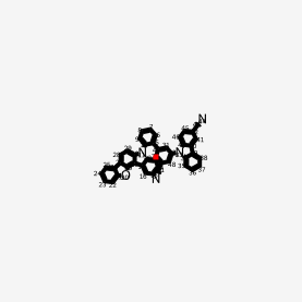 N#Cc1cc(-c2ccccc2-n2c3ccccc3c3c4oc5ccccc5c4ccc32)cc(-n2c3ccccc3c3cc(C#N)ccc32)c1